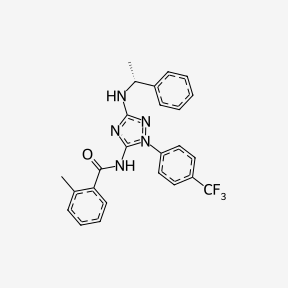 Cc1ccccc1C(=O)Nc1nc(N[C@H](C)c2ccccc2)nn1-c1ccc(C(F)(F)F)cc1